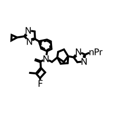 C=C(C1=C(C)C(F)C1)N(CC12CCC(C3=NC(CCC)=NC3)(CC1)C2)c1cccc(C2=NC(C3CC3)=NC2)c1